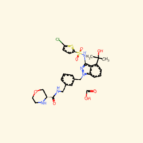 CC(C)(O)c1cccc2c1c(NS(=O)(=O)c1ccc(Cl)s1)nn2Cc1cccc(CNC(=O)[C@H]2COCCN2)c1.O=CO